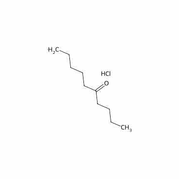 Cl.[CH2]CCCCC(=O)CCCC